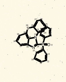 O=P(c1ccccc1)(c1ccccc1)c1nc2cccc3c2n1-c1ccccc1S3